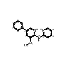 CCOc1cc(-c2cccnc2)cnc1Nc1ccccn1